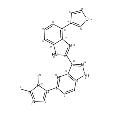 Cc1ncc(-c2ccc3[nH]nc(-c4nc5c(-c6ccoc6)cccc5[nH]4)c3n2)n1C